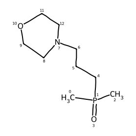 CP(C)(=O)CCCN1CCOCC1